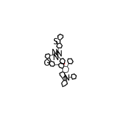 c1ccc(-c2nc(-c3ccc4c(c3)sc3ccccc34)nc(-c3cccc4oc5ccc(-c6ccc7c(c6)-c6ccc8c9ccccc9n(-c9ccccc9)c8c6CCC7c6ccccc6)cc5c34)n2)cc1